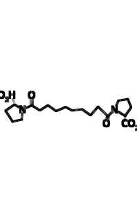 O=C(O)[C@H]1CCCN1C(=O)CCCCCCCCC(=O)N1CCC[C@@H]1C(=O)O